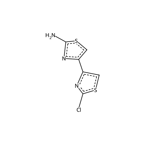 Nc1nc(-c2csc(Cl)n2)cs1